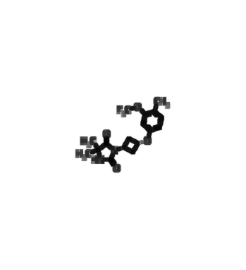 Cc1ccc(O[C@H]2C[C@H](N3C(=O)NC(C)(C)C3=O)C2)cc1OC(F)(F)F